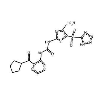 O=C(Nc1nc(C(=O)O)c(S(=O)(=O)c2nnn[nH]2)s1)Nc1cccnc1C(=O)C1CCCC1